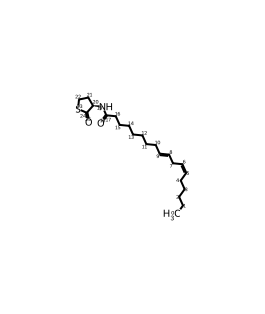 CCCCC/C=C\C/C=C/CCCCCCCC(=O)N[C@@H]1CCSC1=O